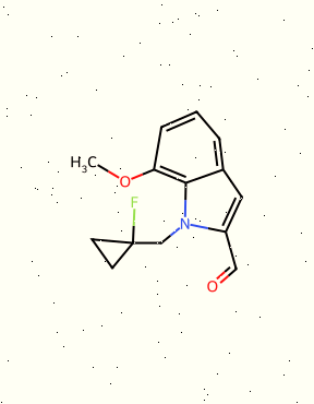 COc1cccc2cc(C=O)n(CC3(F)CC3)c12